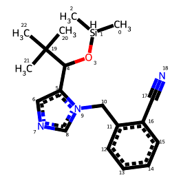 C[SiH](C)OC(c1cncn1Cc1ccccc1C#N)C(C)(C)C